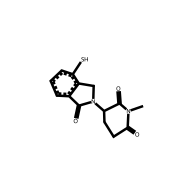 CN1C(=O)CCC(N2Cc3c(S)cccc3C2=O)C1=O